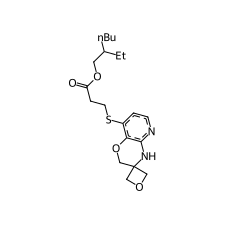 CCCCC(CC)COC(=O)CCSc1ccnc2c1OCC1(COC1)N2